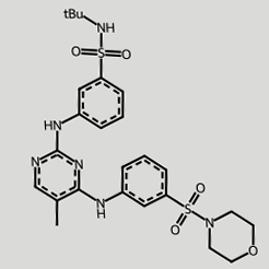 Cc1cnc(Nc2cccc(S(=O)(=O)NC(C)(C)C)c2)nc1Nc1cccc(S(=O)(=O)N2CCOCC2)c1